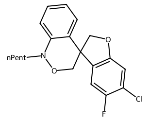 CCCCCN1OCC2(COc3cc(Cl)c(F)cc32)c2ccccc21